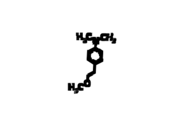 COCCc1ccc(N(C)C)cc1